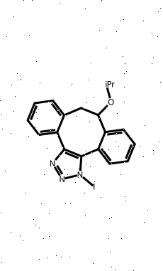 CC(C)OC1Cc2ccccc2-c2nnn(I)c2-c2ccccc21